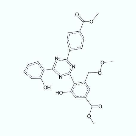 COOCc1cc(C(=O)OC)cc(O)c1-c1nc(-c2ccc(C(=O)OC)cc2)nc(-c2ccccc2O)n1